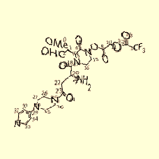 COC(C=O)[C@H]1C(=O)N(OC(=O)COC(=O)C(F)(F)F)CCN1C(=O)C(N)CC(=O)N1CCN(c2ccncc2)CC1